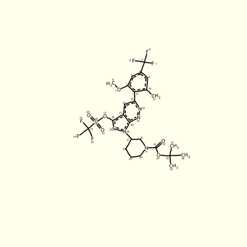 COc1cc(C(F)(F)F)cc(C)c1-c1cc2c(OS(=O)(=O)C(F)(F)F)nn(C3CCCN(C(=O)OC(C)(C)C)C3)c2nn1